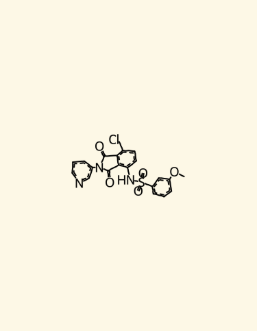 COc1cccc(S(=O)(=O)Nc2ccc(Cl)c3c2C(=O)N(c2cccnc2)C3=O)c1